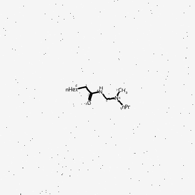 CCCCCCCC(=O)NCN(C)CCC